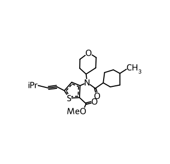 COC(=O)c1sc(C#CC(C)C)cc1N(C(=O)C1CCC(C)CC1)C1CCOCC1